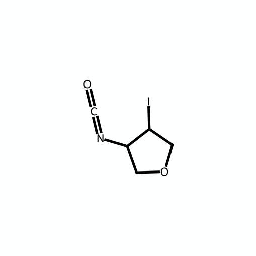 O=C=NC1COCC1I